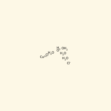 O.O.O.O.O.[Cl-].[Cl-].[Cu+2]